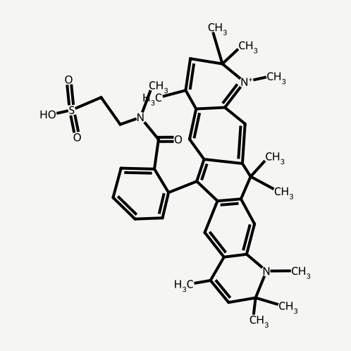 CC1=CC(C)(C)N(C)c2cc3c(cc21)C(c1ccccc1C(=O)N(C)CCS(=O)(=O)O)=c1cc2c(cc1C3(C)C)=[N+](C)C(C)(C)C=C2C